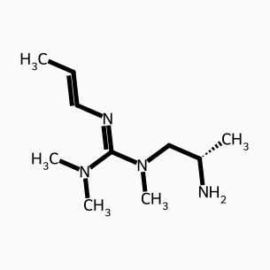 C/C=C/N=C(\N(C)C)N(C)C[C@H](C)N